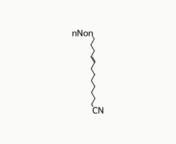 CCCCCCCCCCCCC=CCCCCCCCC#N